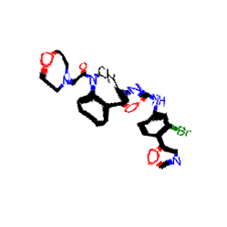 CN(C(=O)CN1CCOCC1)c1ccccc1-c1cnc(Nc2ccc(-c3cnco3)c(Br)c2)o1